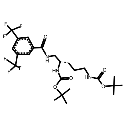 CC(C)(C)OC(=O)NCCC[C@@H](CNC(=O)c1cc(C(F)(F)F)cc(C(F)(F)F)c1)NC(=O)OC(C)(C)C